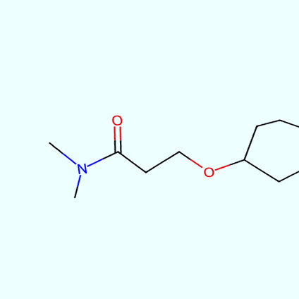 CN(C)C(=O)CCOC1CCCCC1